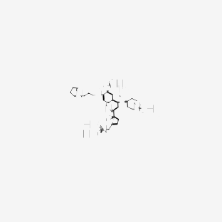 COc1cc2c(NC3CCN(C)CC3)cc(-c3ccc(CN(C)C)o3)nc2cc1OCCCN1CCCC1